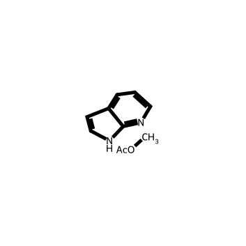 COC(C)=O.c1cnc2[nH]ccc2c1